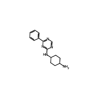 NC1CCC(Nc2ncnc(-c3ccccc3)n2)CC1